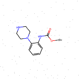 CC(C)(C)OC(=O)Nc1ccccc1N1CCNCC1